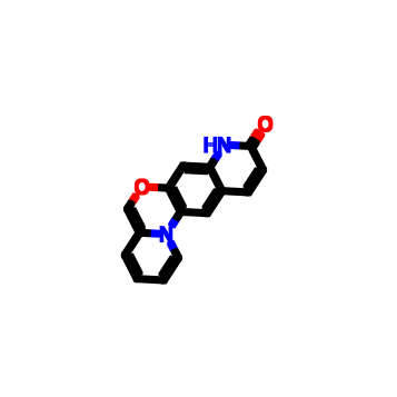 O=c1ccc2cc3c(cc2[nH]1)OC=C1C=CC=CN13